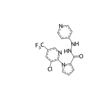 O=C(NNc1ccncc1)c1cccn1-c1ncc(C(F)(F)F)cc1Cl